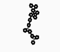 c1ccc(-c2ccccc2-c2cccc(C3(c4cccc(-c5ccc(-c6ccc(-n7c8ccccc8c8cc(-c9ccc%10c(c9)c9ccccc9n%10-c9ccccc9)ccc87)cc6)cc5)c4)c4ccccc4-c4ccccc43)c2)cc1